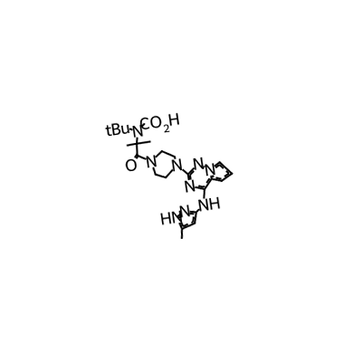 Cc1cc(Nc2nc(N3CCN(C(=O)C(C)(C)N(C(=O)O)C(C)(C)C)CC3)nn3cccc23)n[nH]1